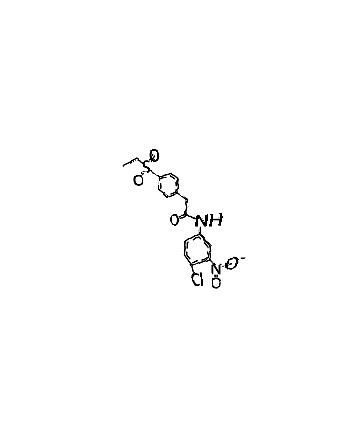 CCS(=O)(=O)c1ccc(CC(=O)Nc2ccc(Cl)c([N+](=O)[O-])c2)cc1